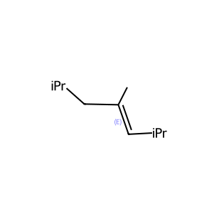 C/C(=C\C(C)C)CC(C)C